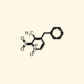 CC1=C(Cc2ccccc2)C=C[NH+]([O-])C1=S(=O)=O